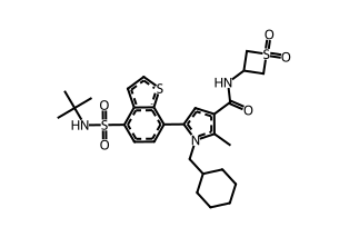 Cc1c(C(=O)NC2CS(=O)(=O)C2)cc(-c2ccc(S(=O)(=O)NC(C)(C)C)c3ccsc23)n1CC1CCCCC1